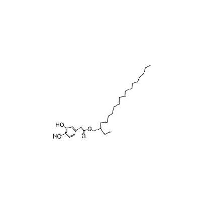 CCCCCCCCCCCCCCCCC(CC)COC(=O)Cc1ccc(O)c(O)c1